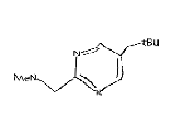 CNCc1ncc(C(C)(C)C)cn1